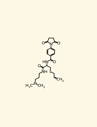 C=CCSCC(NC(=O)c1ccc(N2C(=O)CCC2=O)cc1)C(=O)NCCCN(C)C